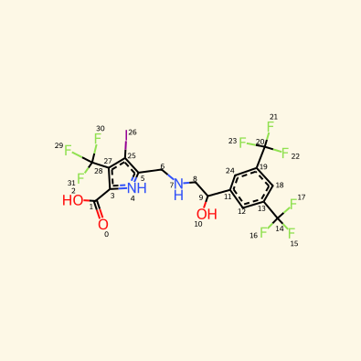 O=C(O)c1[nH]c(CNCC(O)c2cc(C(F)(F)F)cc(C(F)(F)F)c2)c(I)c1C(F)(F)F